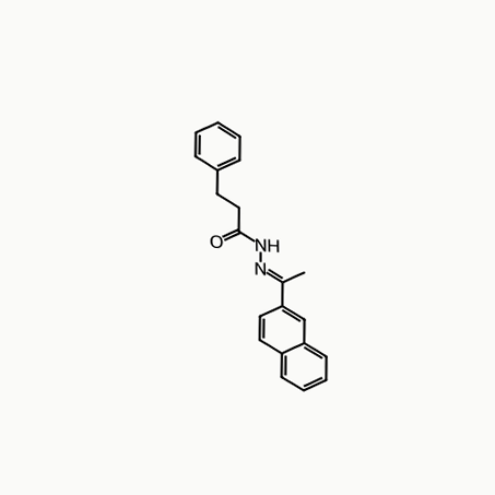 CC(=NNC(=O)CCc1ccccc1)c1ccc2ccccc2c1